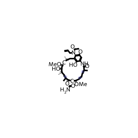 C=CCN1C(=O)COc2cc3c(O)c(c21)C[C@@H](C)C[C@H](OC)[C@H](O)[C@@H](C)/C=C(\C)[C@H](OC(N)=O)C[C@@H](OC)/C=C\C=C(/C)C(=O)N3